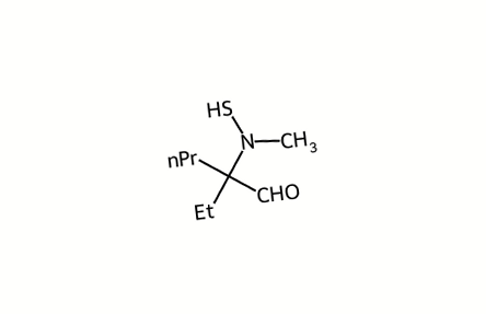 CCCC(C=O)(CC)N(C)S